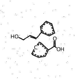 O=C(O)c1ccccc1.OCC=Cc1ccccc1